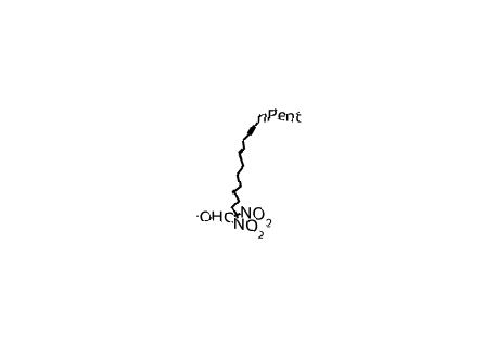 CCCCCC#CC/C=C/CCCCCCC([C]=O)([N+](=O)[O-])[N+](=O)[O-]